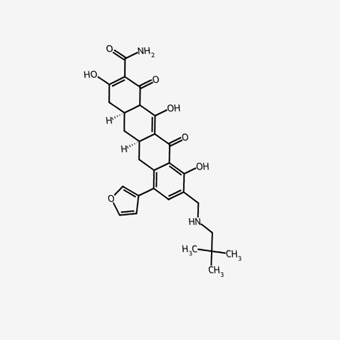 CC(C)(C)CNCc1cc(-c2ccoc2)c2c(c1O)C(=O)C1=C(O)C3C(=O)C(C(N)=O)=C(O)C[C@@H]3C[C@@H]1C2